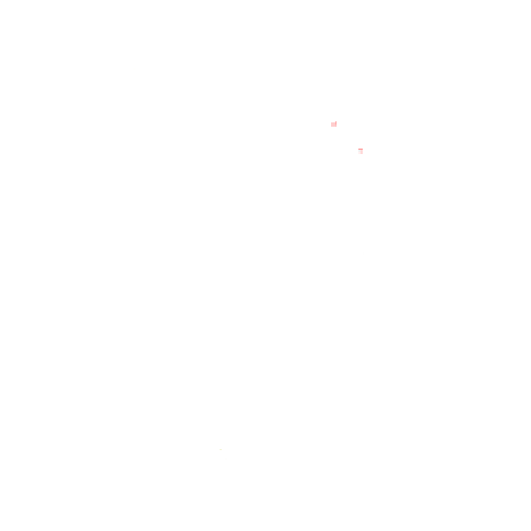 c1ccc(-c2ccccc2-c2c3cccc(-c4cccc5c4ccc4sc6ccccc6c45)c3cc3c(-c4cccc5c4ccc4sc6ccccc6c45)cccc23)cc1